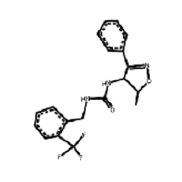 CC1ON=C(c2ccccc2)C1NC(=O)NCc1ccccc1C(F)(F)F